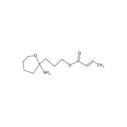 CC=CC(=O)OCCCC1([SiH3])CCCCO1